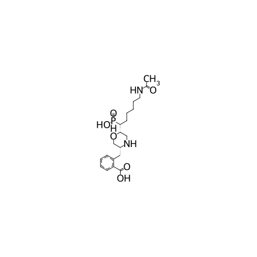 CC(=O)NCCCCCC([C@@H]1CN[C@H](Cc2ccccc2C(=O)O)CO1)[PH](=O)O